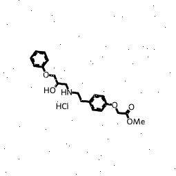 COC(=O)COc1ccc(CCNCC(O)COc2ccccc2)cc1.Cl